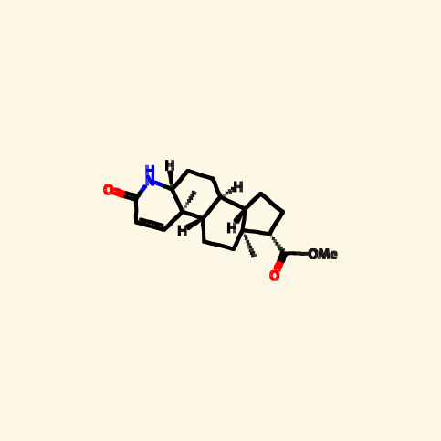 COC(=O)[C@H]1CC[C@H]2[C@@H]3CC[C@H]4NC(=O)C=C[C@]4(C)[C@H]3CC[C@]12C